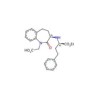 CCOC(=O)[C@@H](CCc1ccccc1)N[C@@H]1CCc2ccccc2N(CC(=O)O)C1=O